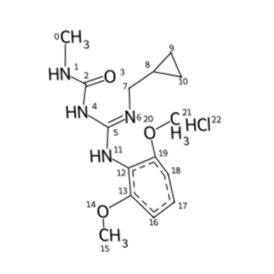 CNC(=O)NC(=NCC1CC1)Nc1c(OC)cccc1OC.Cl